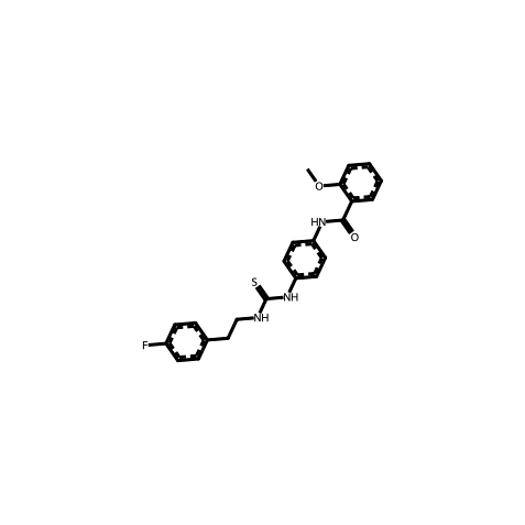 COc1ccccc1C(=O)Nc1ccc(NC(=S)NCCc2ccc(F)cc2)cc1